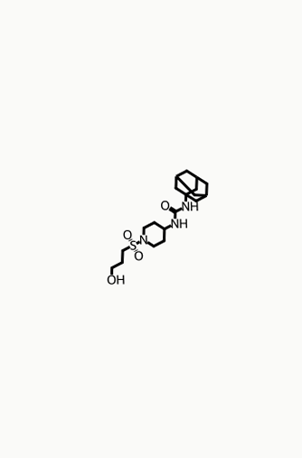 O=C(NC1CCN(S(=O)(=O)CCCO)CC1)NC12CC3CC(CC(C3)C1)C2